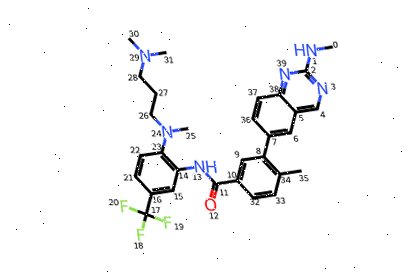 CNc1ncc2cc(-c3cc(C(=O)Nc4cc(C(F)(F)F)ccc4N(C)CCCN(C)C)ccc3C)ccc2n1